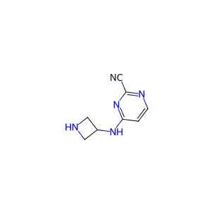 N#Cc1nccc(NC2CNC2)n1